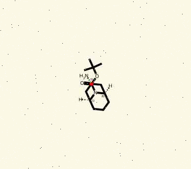 CC(C)(C)OC(=O)N1[C@@H]2CCC[C@H]1C[C@H](N)C2